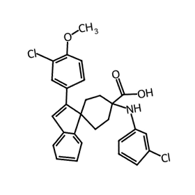 COc1ccc(C2=Cc3ccccc3C23CCC(Nc2cccc(Cl)c2)(C(=O)O)CC3)cc1Cl